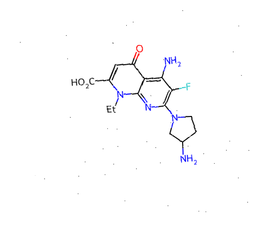 CCn1c(C(=O)O)cc(=O)c2c(N)c(F)c(N3CCC(N)C3)nc21